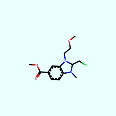 COCCN1c2cc(C(=O)OC)ccc2N(C)C1CCl